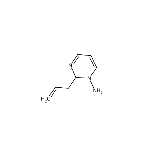 C=CCC1N=CC=CN1N